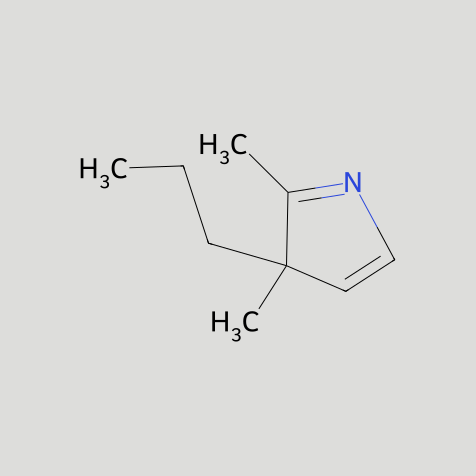 CCCC1(C)C=CN=C1C